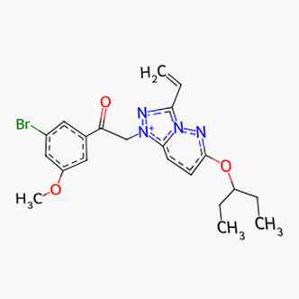 C=Cc1n[n+](CC(=O)c2cc(Br)cc(OC)c2)c2ccc(OC(CC)CC)nn12